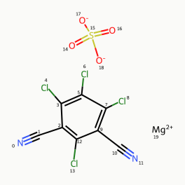 N#Cc1c(Cl)c(Cl)c(Cl)c(C#N)c1Cl.O=S(=O)([O-])[O-].[Mg+2]